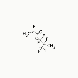 C=C(F)C(=O)OC(F)(F)C(C)(F)C(F)(F)F